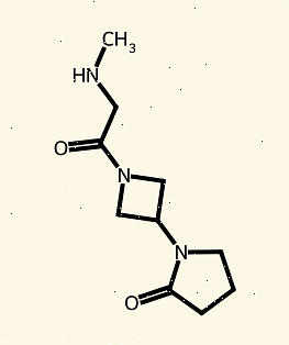 CNCC(=O)N1CC(N2CCCC2=O)C1